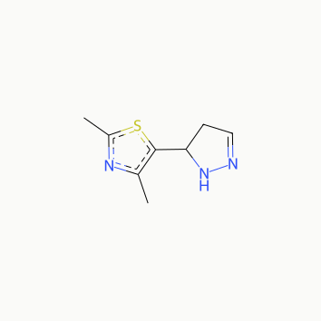 Cc1nc(C)c(C2CC=NN2)s1